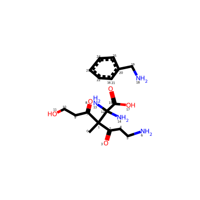 CC(C(=O)CCN)(C(=O)CCO)C(N)(N)C(=O)O.NCc1ccccc1